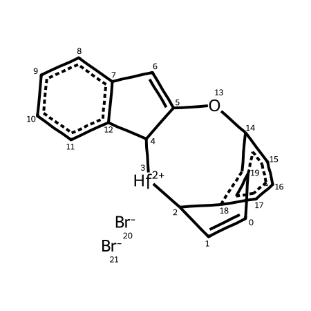 C1=C[CH]2[Hf+2][CH]3C(=Cc4ccccc43)Oc3cccc2c31.[Br-].[Br-]